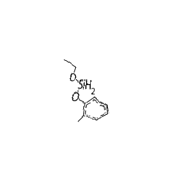 CCO[SiH2]Oc1ccccc1C